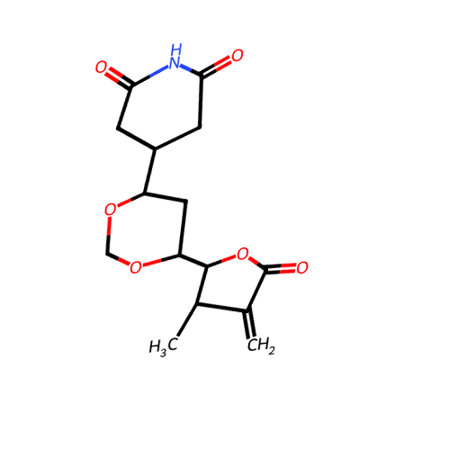 C=C1C(=O)OC(C2CC(C3CC(=O)NC(=O)C3)OCO2)C1C